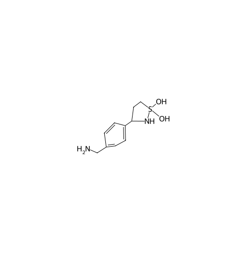 NCc1ccc(C2CCS(O)(O)N2)cc1